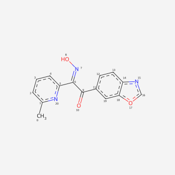 Cc1cccc(C(=NO)C(=O)c2ccc3ncoc3c2)n1